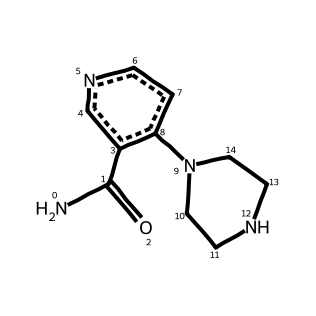 NC(=O)c1cnccc1N1CCNCC1